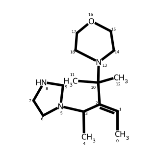 C/C=C(\C(C)N1CCNC1)C(C)(C)N1CCOCC1